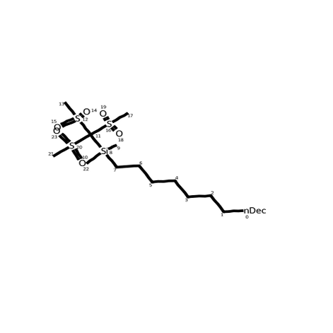 CCCCCCCCCCCCCCCCC[Si](C)(C)C(S(C)(=O)=O)(S(C)(=O)=O)S(C)(=O)=O